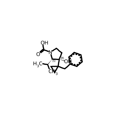 CC(C)[C@@H]1N(C(=O)O)CC[C@@]1(O)C1(Cc2ccccc2)CC1